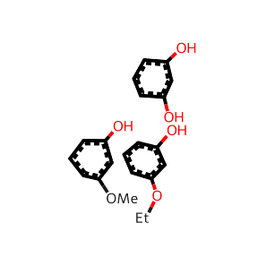 CCOc1cccc(O)c1.COc1cccc(O)c1.Oc1cccc(O)c1